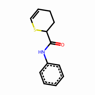 O=C(Nc1ccccc1)C1CCC=CS1